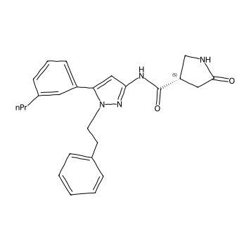 CCCc1cccc(-c2cc(NC(=O)[C@@H]3CNC(=O)C3)nn2CCc2ccccc2)c1